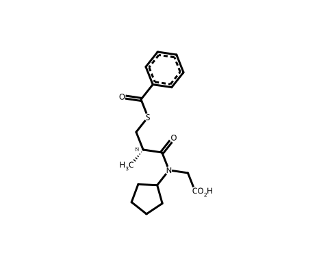 C[C@H](CSC(=O)c1ccccc1)C(=O)N(CC(=O)O)C1CCCC1